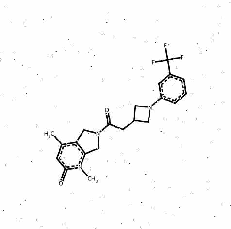 Cc1cc(=O)n(C)c2c1CN(C(=O)CC1CN(c3cccc(C(F)(F)F)c3)C1)C2